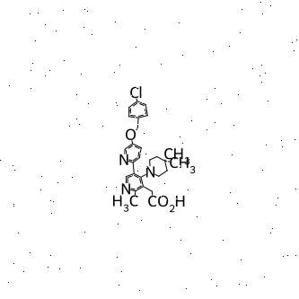 Cc1ncc(-c2ccc(OCc3ccc(Cl)cc3)cn2)c(N2CCC(C)(C)CC2)c1CC(=O)O